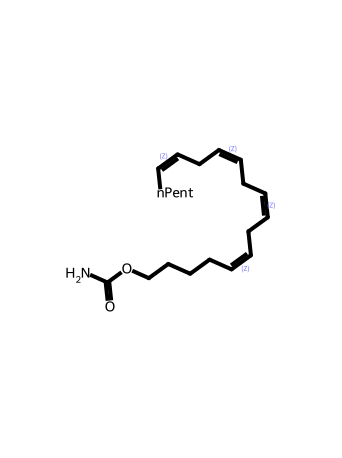 CCCCC/C=C\C/C=C\C/C=C\C/C=C\CCCCOC(N)=O